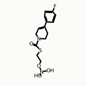 O=C(SCCON(O)O)N1CC=C(c2ccc(F)cc2)CC1